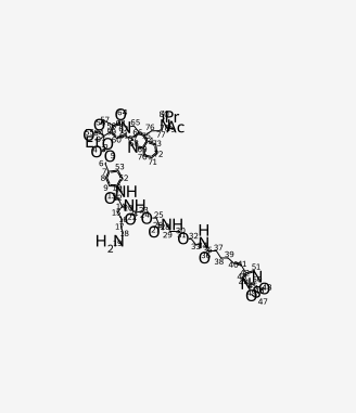 CC[C@@]1(OC(=O)OCc2ccc(NC(=O)[C@H](CCCCN)NC(=O)COCC(=O)NCCOCCNC(=O)CCC/C=C/c3cnc(S(C)(=O)=O)nc3)cc2)C(=O)OCc2c1cc1n(c2=O)Cc2c-1nc1ccccc1c2CCN(C(C)=O)C(C)C